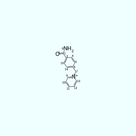 NC(=O)c1ccc(C[n+]2ccccc2)cc1